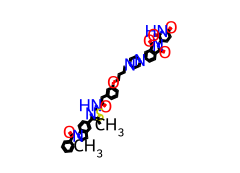 Cc1ccccc1C(=O)N1CCc2cc(-c3nc(NC(=O)Cc4cccc(OCCCCN5CCN(c6ccc7c(c6)C(=O)N(C6CCC(=O)NC6=O)C7=O)CC5)c4)sc3C)ccc21